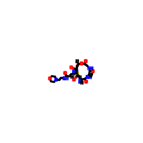 O=C(CC[C@H]1NC(=O)C[C@H]2/C=C/CCSSC[C@@H](NC1=O)C(=O)NC1(CC1)C(=O)NCC(=O)O2)NCCN1CCOCC1